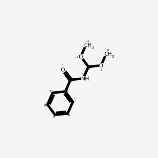 COC(NC(=O)c1ccccc1)OC